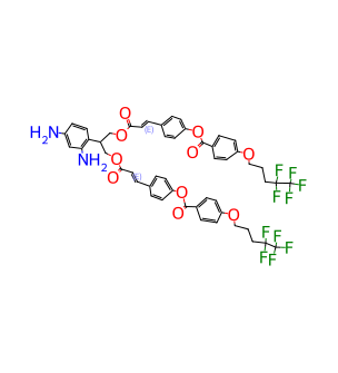 Nc1ccc(C(COC(=O)/C=C/c2ccc(OC(=O)c3ccc(OCCCC(F)(F)C(F)(F)F)cc3)cc2)COC(=O)/C=C/c2ccc(OC(=O)c3ccc(OCCCC(F)(F)C(F)(F)F)cc3)cc2)c(N)c1